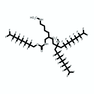 O=C(O)NCCCCC(CCC(CC(F)(F)C(F)(F)C(F)(F)C(F)(F)C(F)(F)C(F)F)(CC(F)(F)C(F)(F)C(F)(F)C(F)(F)C(F)(F)C(F)F)NC(=O)O)CNC(=O)OCC(F)(F)C(F)(F)C(F)(F)C(F)(F)C(F)(F)C(F)F